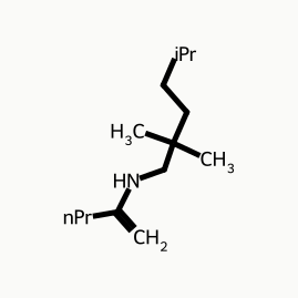 C=C(CCC)NCC(C)(C)CCC(C)C